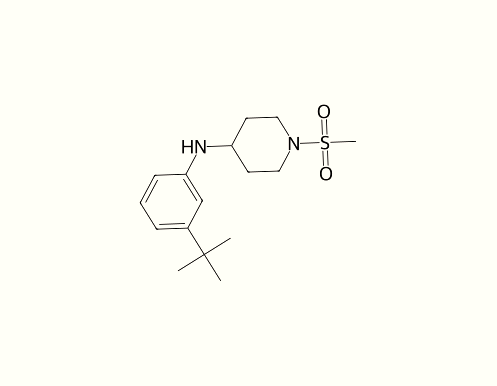 CC(C)(C)c1cccc(NC2CCN(S(C)(=O)=O)CC2)c1